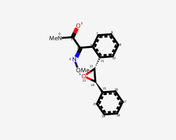 CNC(=O)/C(=N/OC)c1ccccc1[C@H]1O[C@@H]1c1ccccc1